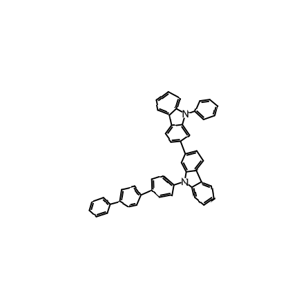 c1ccc(-c2ccc(-c3ccc(-n4c5ccccc5c5ccc(-c6ccc7c8ccccc8n(-c8ccccc8)c7c6)cc54)cc3)cc2)cc1